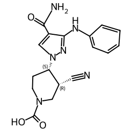 N#C[C@@H]1CN(C(=O)O)CC[C@@H]1n1cc(C(N)=O)c(Nc2ccccc2)n1